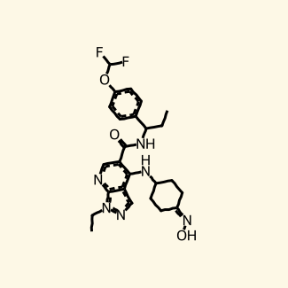 CCC(NC(=O)c1cnc2c(cnn2CC)c1NC1CCC(=NO)CC1)c1ccc(OC(F)F)cc1